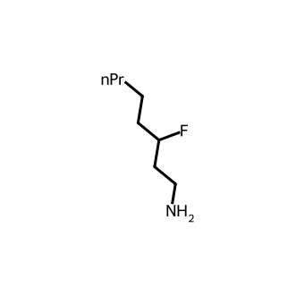 CCCCCC(F)CCN